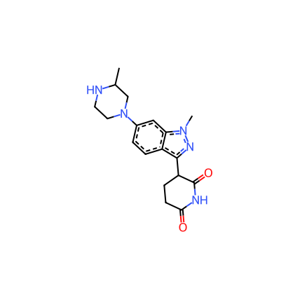 CC1CN(c2ccc3c(C4CCC(=O)NC4=O)nn(C)c3c2)CCN1